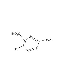 CCOC(=O)c1nc(OC)ncc1I